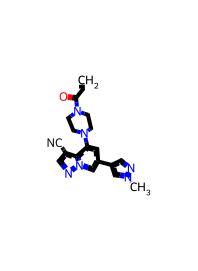 C=CC(=O)N1CCN(c2cc(-c3cnn(C)c3)cn3ncc(C#N)c23)CC1